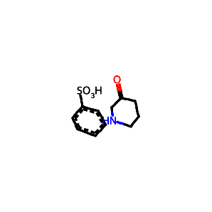 O=C1CCCNC1.O=S(=O)(O)c1ccccc1